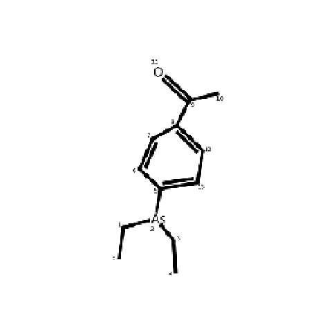 CC[As](CC)c1ccc(C(C)=O)cc1